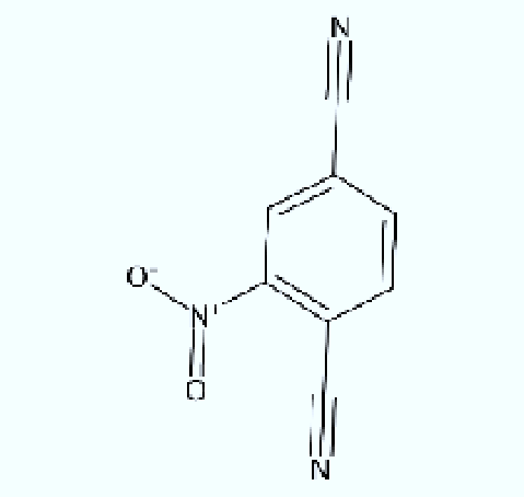 N#Cc1ccc(C#N)c([N+](=O)[O-])c1